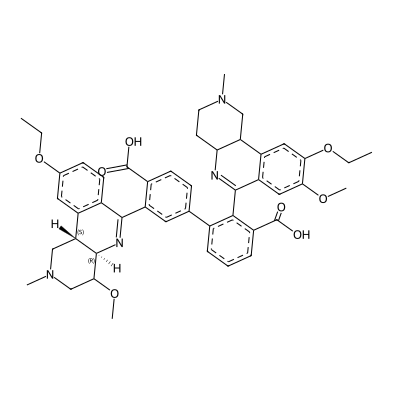 CCOc1ccc2c(c1)[C@H]1CN(C)CC(OC)[C@@H]1N=C2c1cc(-c2cccc(C(=O)O)c2C2=NC3CCN(C)CC3c3cc(OCC)c(OC)cc32)ccc1C(=O)O